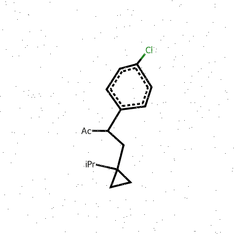 CC(=O)C(CC1(C(C)C)CC1)c1ccc(Cl)cc1